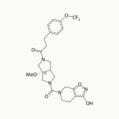 CO[C@]12CN(C(=O)CCc3ccc(OC(F)(F)F)cc3)CC1CN(C(=O)N1CCc3c(O)noc3C1)C2